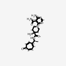 C[C@H](NC(=O)C1(N)CCN(c2ncnc(N)c2C(N)=O)CC1)C1=CC=CC(Cl)C=C1